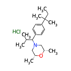 CCC(C)(C)c1ccc(C(C(C)C)N2C[C@@H](C)O[C@@H](C)C2)cc1.Cl